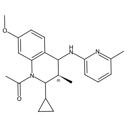 COc1ccc2c(c1)N(C(C)=O)C(C1CC1)[C@H](C)C2Nc1cccc(C)n1